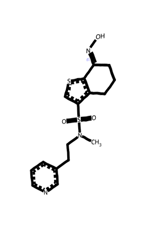 CN(CCc1cccnc1)S(=O)(=O)c1csc2c1CCC/C2=N\O